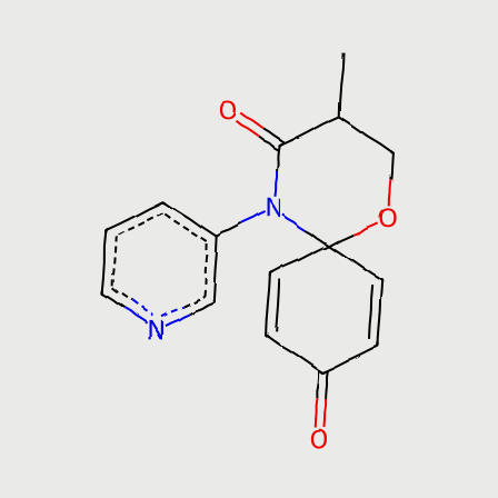 CC1COC2(C=CC(=O)C=C2)N(c2cccnc2)C1=O